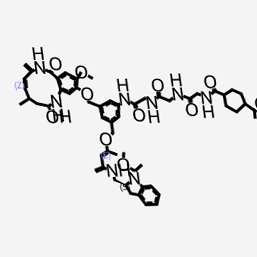 C=C1/C=C\C(C)CC(O)Nc2cc(OCc3cc(CO/C(C)=C/C(=C)NC[C@@H]4Cc5ccccc5N4C(C)OC)cc(NC(=O)CNC(=O)CNC(=O)CNC(=O)C4CCC(C(C)=O)CC4)c3)c(OC)cc2C(=O)N1